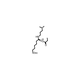 CCC(=O)O.CCCCCCCCCCCCCCCC(=O)NCCCN(C)C